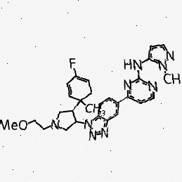 COCCN1CC(n2nnc3cc(-c4ccnc(Nc5ccnn5C)n4)ccc32)[C@H](C2(C)C=CC(F)=CC2)C1